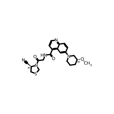 CO[C@@H]1CCCN(c2ccc3nccc(C(=O)NCC(=O)N4CSC[C@H]4C#N)c3c2)C1